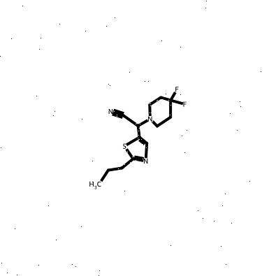 CCCc1ncc(C(C#N)N2CCC(F)(F)CC2)s1